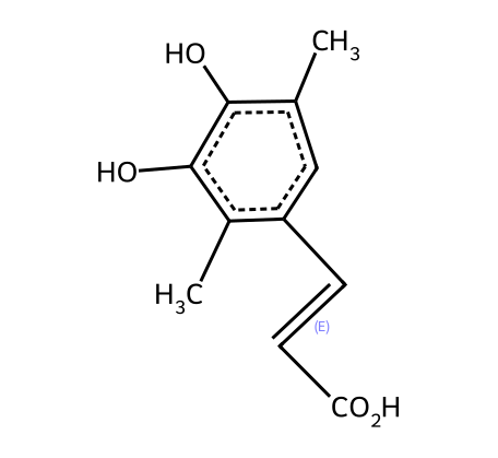 Cc1cc(/C=C/C(=O)O)c(C)c(O)c1O